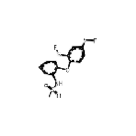 CS(=O)(=O)Nc1ccccc1Oc1ccc(SF)cc1SF